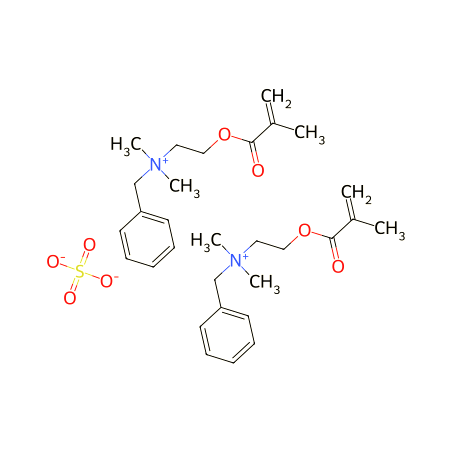 C=C(C)C(=O)OCC[N+](C)(C)Cc1ccccc1.C=C(C)C(=O)OCC[N+](C)(C)Cc1ccccc1.O=S(=O)([O-])[O-]